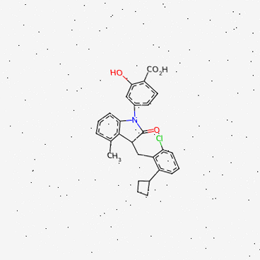 Cc1cccc2c1C(Cc1c(Cl)cccc1C1CCC1)C(=O)N2c1ccc(C(=O)O)c(O)c1